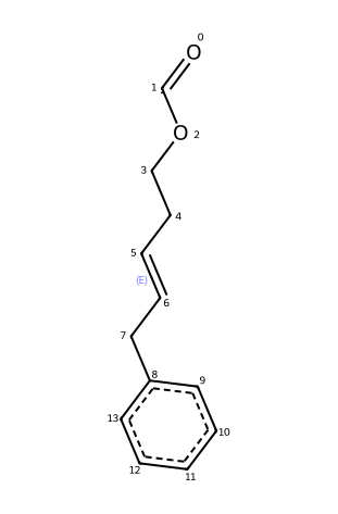 O=[C]OCC/C=C/Cc1ccccc1